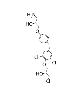 NC[C@H](O)COc1ccc(Cc2cc(Cl)c(OC[C@H](O)CCl)c(Cl)c2)cc1